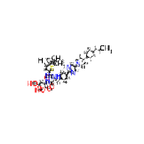 CCCC1CCC(C2CCN(c3cnc(-c4ccc(C[C@H](NC(=O)c5ccc(C(C)(C)C)s5)C(=O)N[C@@H](CC(=O)O)C(=O)O)cc4)nc3)CC2)CC1